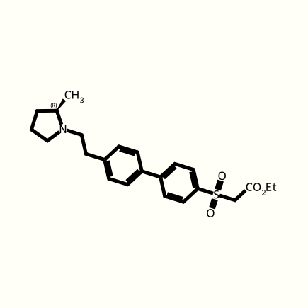 CCOC(=O)CS(=O)(=O)c1ccc(-c2ccc(CCN3CCC[C@H]3C)cc2)cc1